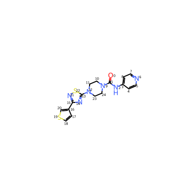 O=C(Nc1ccncc1)N1CCN(c2nc(-c3ccsc3)ns2)CC1